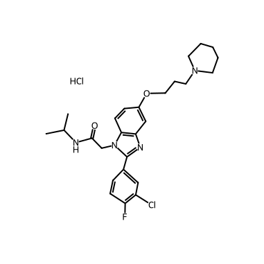 CC(C)NC(=O)Cn1c(-c2ccc(F)c(Cl)c2)nc2cc(OCCCN3CCCCC3)ccc21.Cl